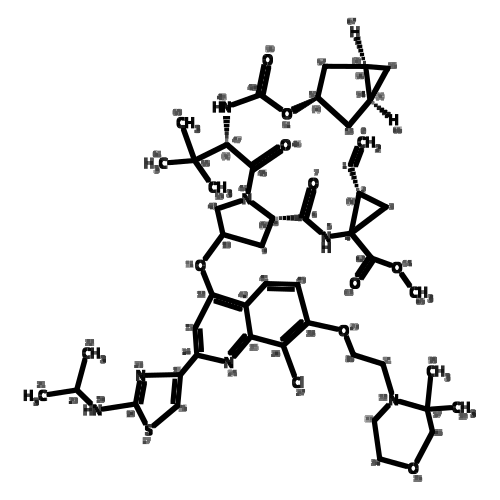 C=C[C@@H]1CC1(NC(=O)[C@@H]1CC(Oc2cc(-c3csc(NC(C)C)n3)nc3c(Cl)c(OCCN4CCOCC4(C)C)ccc23)CN1C(=O)[C@@H](NC(=O)O[C@@H]1C[C@@H]2C[C@@H]2C1)C(C)(C)C)C(=O)OC